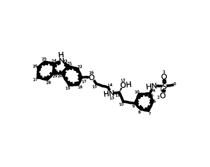 CS(=O)(=O)Nc1cccc(C[C@@H](O)NCCOc2ccc3c(c2)[nH]c2ccccc23)c1